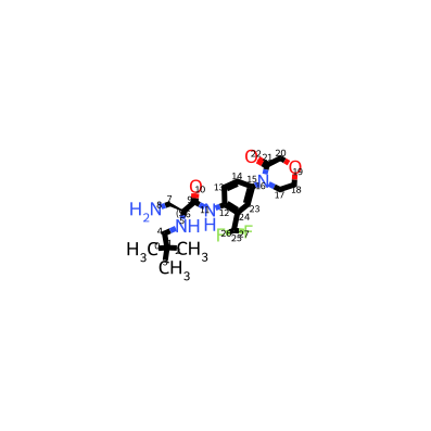 CC(C)(C)CN[C@@H](CN)C(=O)Nc1ccc(N2CCOCC2=O)cc1C(F)F